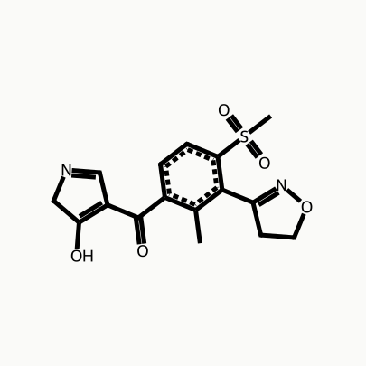 Cc1c(C(=O)C2=C(O)CN=C2)ccc(S(C)(=O)=O)c1C1=NOCC1